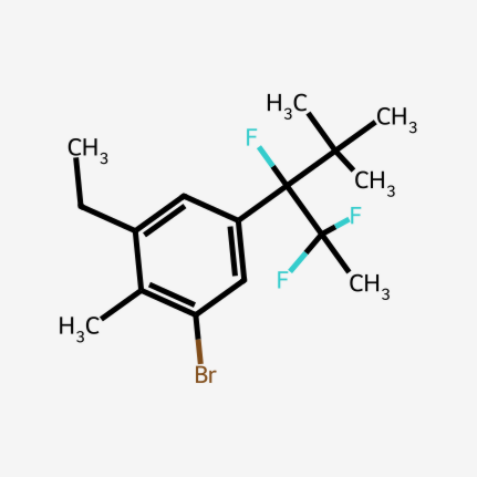 CCc1cc(C(F)(C(C)(C)C)C(C)(F)F)cc(Br)c1C